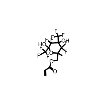 C=CC(=O)OCC1(C)OC(O)(C(F)(F)F)C(F)(F)C(O)(C(F)(F)F)C1(F)F